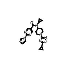 O=C(c1cnc(-n2ccnc2)nc1)N(C1CC1)C1CCN(c2noc(C3CC3)n2)CC1